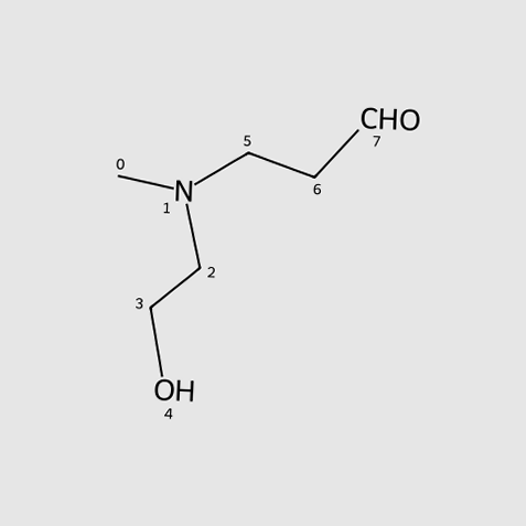 CN(CCO)CCC=O